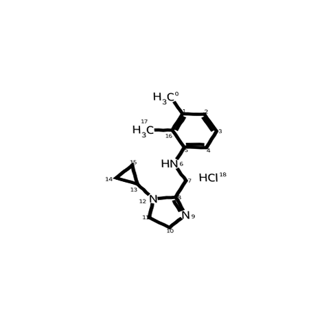 Cc1cccc(NCC2=NCCN2C2CC2)c1C.Cl